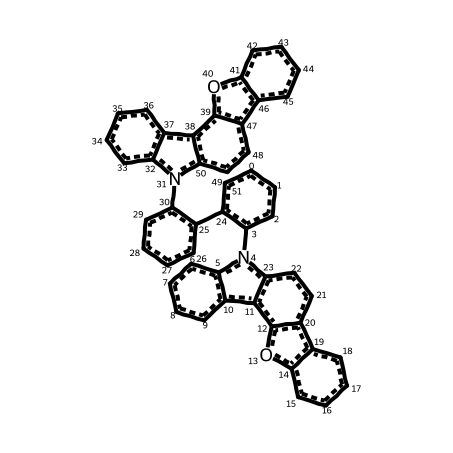 c1ccc(-n2c3ccccc3c3c4oc5ccccc5c4ccc32)c(-c2ccccc2-n2c3ccccc3c3c4oc5ccccc5c4ccc32)c1